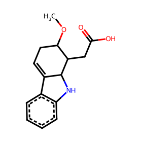 COC1CC=C2c3ccccc3NC2C1CC(=O)O